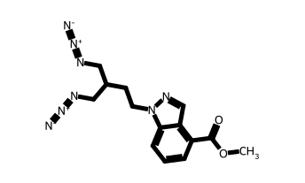 COC(=O)c1cccc2c1cnn2CCC(CN=[N+]=[N-])CN=[N+]=[N-]